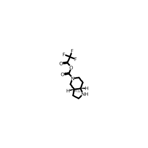 O=C(OC(=O)C(F)(F)F)N1CC[C@@H]2NCC[C@@H]2C1